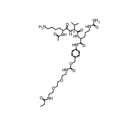 CCC(=O)NCCOCCOCCNC(=O)OCc1ccc(NC(=O)C(CCCNC(N)=O)NC(=O)[C@@H](NC(=O)C(CCCCN)NC(C)=O)C(C)C)cc1